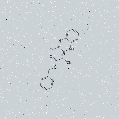 N#C/C(C(=O)OCc1ccccn1)=C1\Nc2ccccc2N=C1Cl